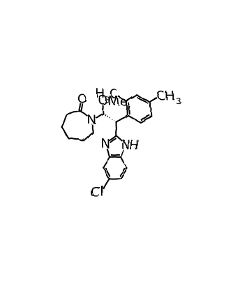 COC([C@@H](c1nc2cc(Cl)ccc2[nH]1)c1ccc(C)cc1C)N1CCCCCC1=O